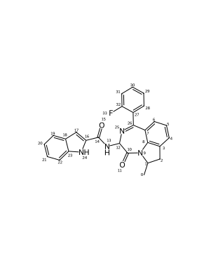 CC1Cc2cccc3c2N1C(=O)C(NC(=O)c1cc2ccccc2[nH]1)N=C3c1ccccc1F